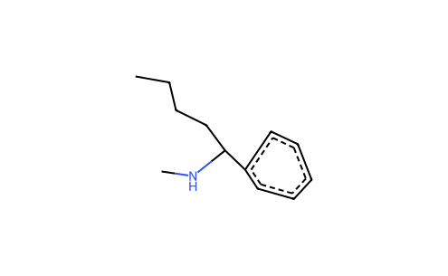 CCCCC(NC)c1ccccc1